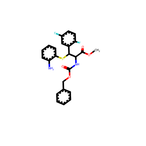 COC(=O)C(NC(=O)OCc1ccccc1)C(Sc1ccccc1N)c1cc(F)ccc1F